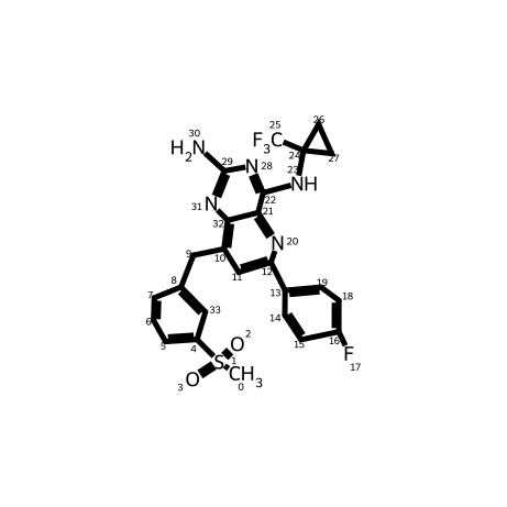 CS(=O)(=O)c1cccc(Cc2cc(-c3ccc(F)cc3)nc3c(NC4(C(F)(F)F)CC4)nc(N)nc23)c1